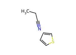 CCC#N.c1ccsc1